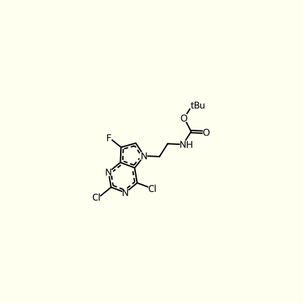 CC(C)(C)OC(=O)NCCn1cc(F)c2nc(Cl)nc(Cl)c21